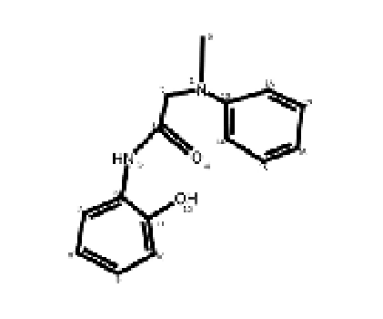 CN(CC(=O)Nc1ccccc1O)c1ccccc1